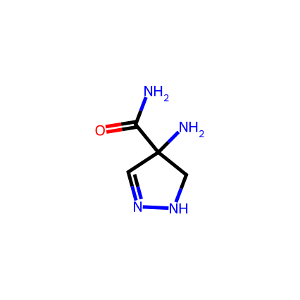 NC(=O)C1(N)C=NNC1